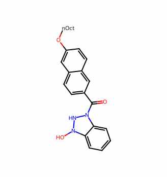 CCCCCCCCOc1ccc2cc(C(=O)N3NN(O)c4ccccc43)ccc2c1